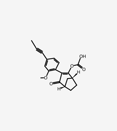 CC#Cc1ccc(C2=C(OC(=O)O)[C@@H]3CC[C@@H](C3)C2=O)c(OC)c1